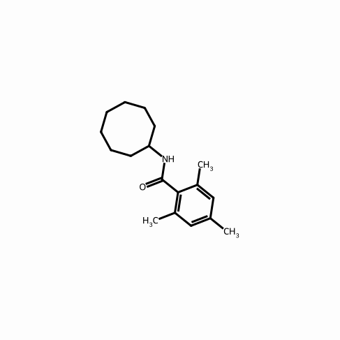 Cc1cc(C)c(C(=O)NC2CCCCCCC2)c(C)c1